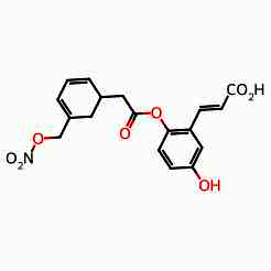 O=C(O)C=Cc1cc(O)ccc1OC(=O)CC1C=CC=C(CO[N+](=O)[O-])C1